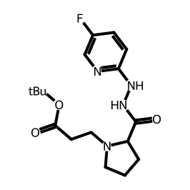 CC(C)(C)OC(=O)CCN1CCCC1C(=O)NNc1ccc(F)cn1